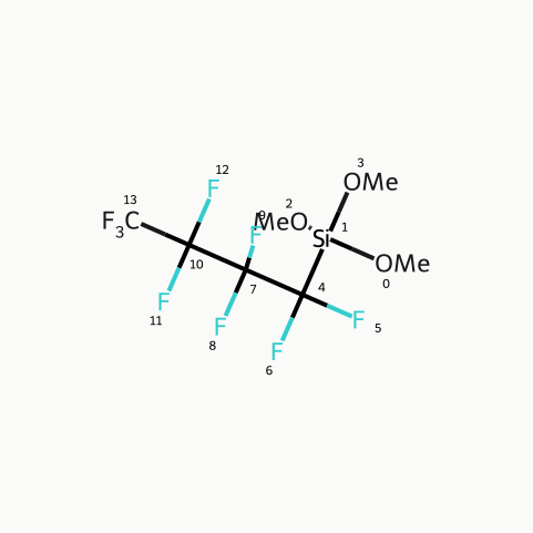 CO[Si](OC)(OC)C(F)(F)C(F)(F)C(F)(F)C(F)(F)F